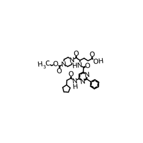 CCOC(=O)N1CCN(C(=O)C(CCC(=O)O)NC(=O)c2cc(NC(=O)CC3CCCC3)nc(-c3ccccc3)n2)CC1